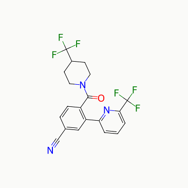 N#Cc1ccc(C(=O)N2CCC(C(F)(F)F)CC2)c(-c2cccc(C(F)(F)F)n2)c1